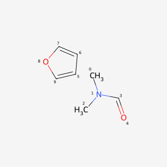 CN(C)C=O.c1ccoc1